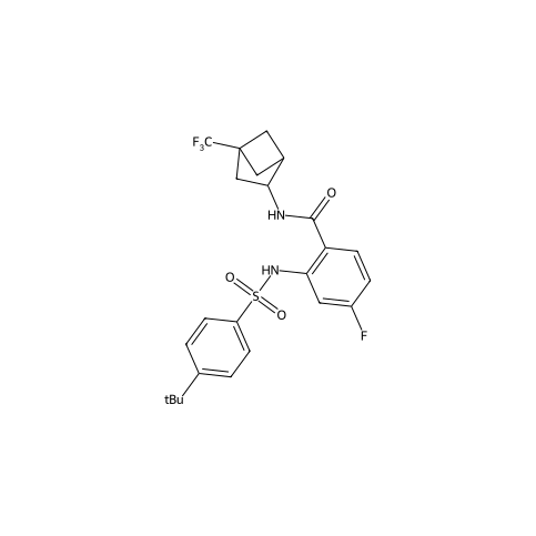 CC(C)(C)c1ccc(S(=O)(=O)Nc2cc(F)ccc2C(=O)NC2CC3(C(F)(F)F)CC2C3)cc1